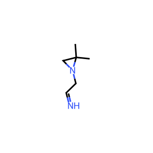 CC1(C)CN1CC=N